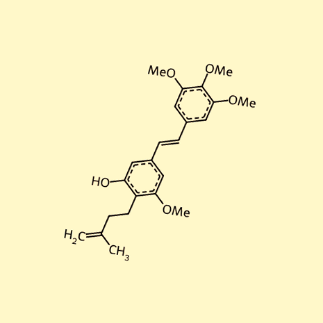 C=C(C)CCc1c(O)cc(C=Cc2cc(OC)c(OC)c(OC)c2)cc1OC